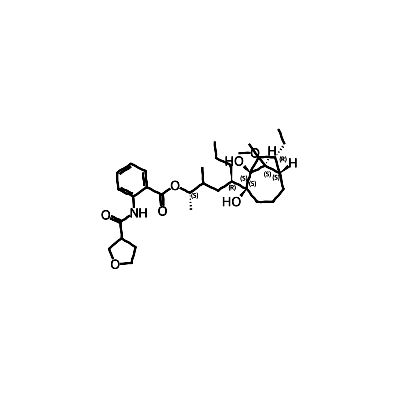 CCC[C@H](CC(C)[C@H](C)OC(=O)c1ccccc1NC(=O)C1CCOC1)[C@@]1(O)CCC[C@H]2[C@@H](CC)C(C)[C@]1(O)[C@H]2OC